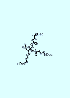 CCCCCCCCCCCCCOOCC(COC(=O)CCCCCCCCCCCCC)(COC(=O)CCCCCCCCCCCCC)C[N+](C)(C)C